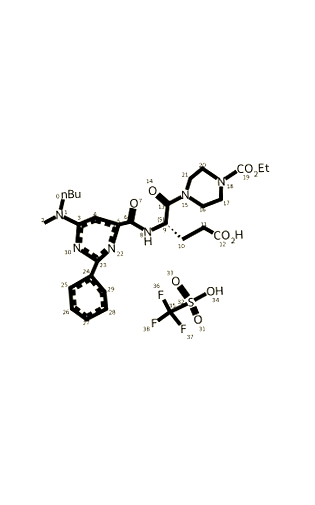 CCCCN(C)c1cc(C(=O)N[C@@H](CCC(=O)O)C(=O)N2CCN(C(=O)OCC)CC2)nc(-c2ccccc2)n1.O=S(=O)(O)C(F)(F)F